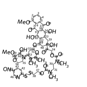 COc1cccc2c1C(=O)c1c(O)c3c(c(O)c1C2=O)C[C@@](O)(C(=O)COC(=O)N(C)CCN(C)C(=O)OCCSSc1ccc(N=O)cn1)C[C@@H]3O[C@H]1C[C@H](N2CCO[C@H](OC)[C@H]2O)[C@H](C)[C@H](C)O1